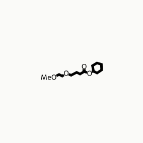 COCCOCCCC(=O)OC1CCCCC1